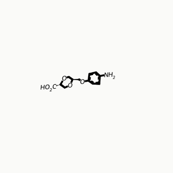 Nc1ccc(OC[C@@H]2CO[C@@H](C(=O)O)CO2)cc1